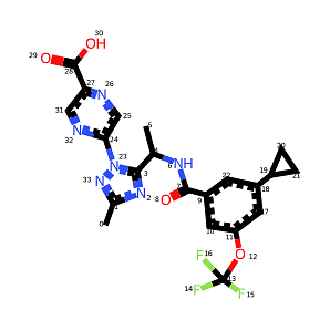 Cc1nc(C(C)NC(=O)c2cc(OC(F)(F)F)cc(C3CC3)c2)n(-c2cnc(C(=O)O)cn2)n1